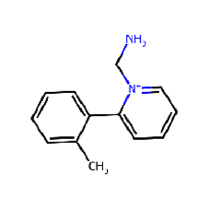 Cc1ccccc1-c1cccc[n+]1CN